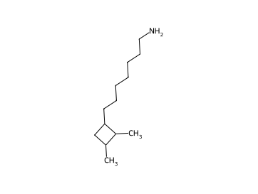 CC1CC(CCCCCCCN)C1C